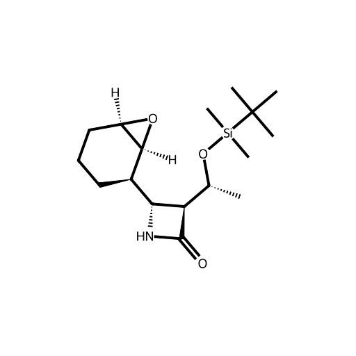 C[C@@H](O[Si](C)(C)C(C)(C)C)[C@H]1C(=O)N[C@@H]1[C@H]1CCC[C@H]2O[C@@H]12